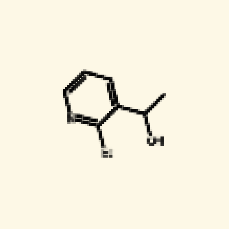 CCc1ncccc1C(C)O